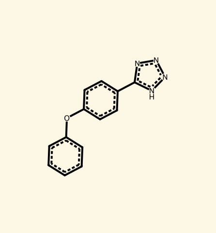 c1ccc(Oc2ccc(-c3nnn[nH]3)cc2)cc1